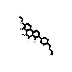 C=CCCC1=CCC(c2ccc3c(c2F)C(F)[C@@H](F)c2c-3ccc(OCC)c2F)CC1